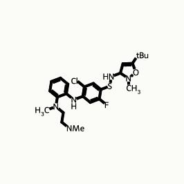 CNCCN(C)c1ccccc1Nc1cc(F)c(SNC2C=C(C(C)(C)C)ON2C)cc1Cl